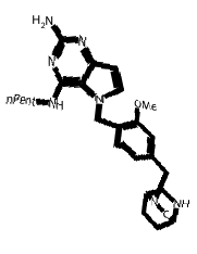 CCCCCNc1nc(N)nc2ccn(Cc3ccc(CN4CC5CCC4CN5)cc3OC)c12